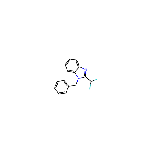 FC(F)c1nc2ccccc2n1Cc1ccccc1